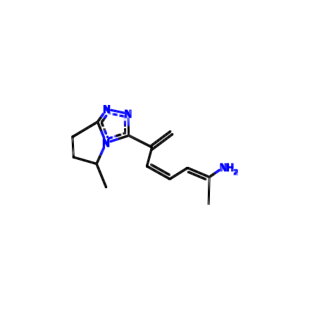 C=C(/C=C\C=C(/C)N)c1nnc2n1C(C)CC2